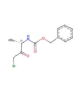 CCCC[C@H](NC(=O)OCc1ccccc1)C(=O)CBr